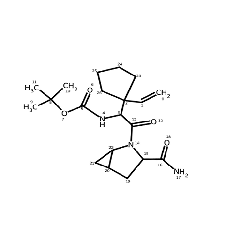 C=CC1(C(NC(=O)OC(C)(C)C)C(=O)N2C(C(N)=O)CC3CC32)CCCC1